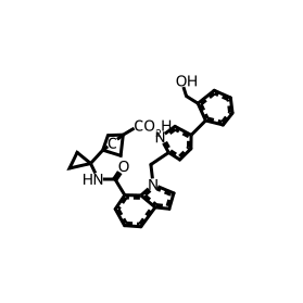 O=C(NC1(C23CC(C(=O)O)(C2)C3)CC1)c1cccc2ccn(Cc3ccc(-c4ccccc4CO)cn3)c12